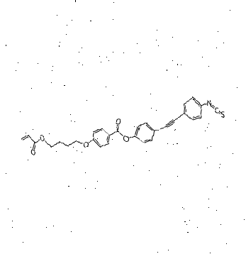 C=CC(=O)OCCCCOc1ccc(C(=O)Oc2ccc(C#Cc3ccc(N=C=S)cc3)cc2)cc1